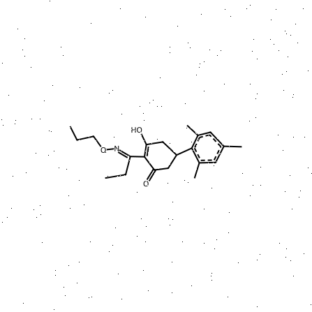 CCCO/N=C(\CC)C1=C(O)CC(c2c(C)cc(C)cc2C)CC1=O